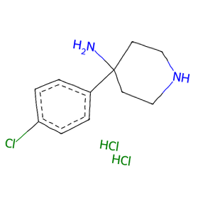 Cl.Cl.NC1(c2ccc(Cl)cc2)CCNCC1